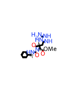 COC(=O)[C@H]1N(C(=O)N[C@H](C)c2ccccc2)C(=O)[C@]1(C)CC(=N)NC(=N)N